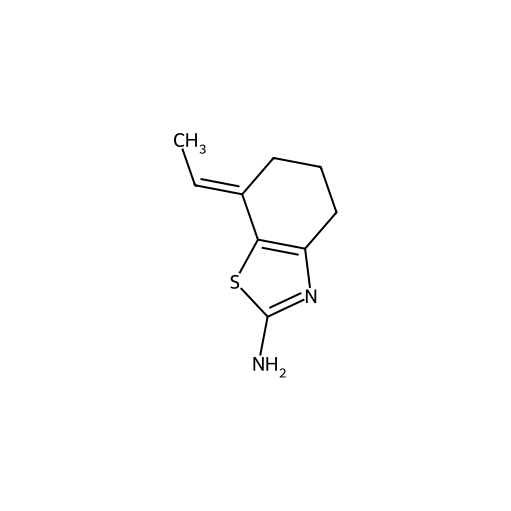 CC=C1CCCc2nc(N)sc21